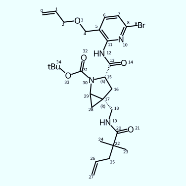 C=CCOCc1ccc(Br)nc1NC(=O)[C@@H]1C[C@@]2(CNC(=O)C(C)(C)CC=C)CC2N1C(=O)OC(C)(C)C